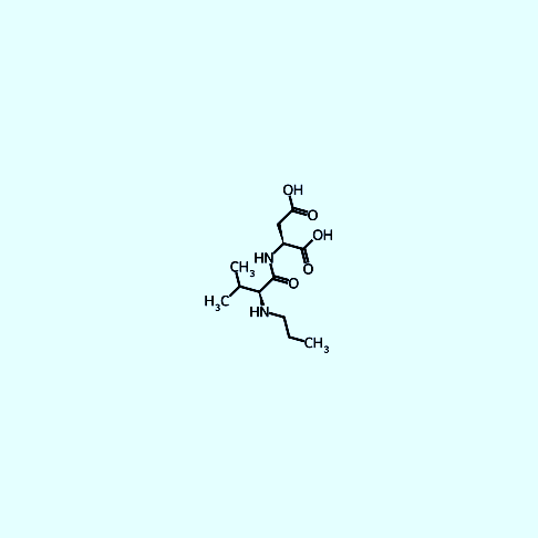 CCCN[C@H](C(=O)N[C@@H](CC(=O)O)C(=O)O)C(C)C